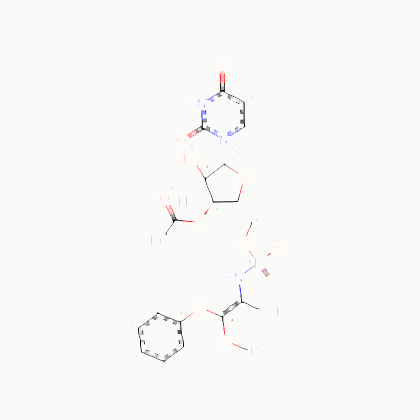 CCC(=O)O[C@@H]1[C@@H](CO[P@](O)(=S)NC(C)=C(Oc2ccccc2)OC(C)C)O[C@@H](n2ccc(=O)[nH]c2=O)[C@]1(C)O